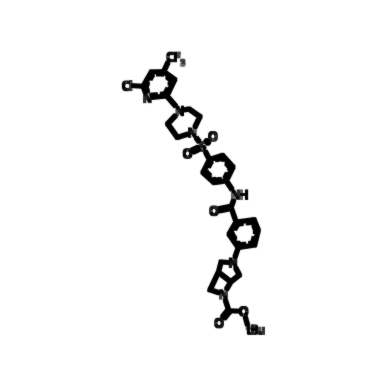 CC(C)(C)OC(=O)N1CC2CN(c3cccc(C(=O)Nc4ccc(S(=O)(=O)N5CCN(c6cc(C(F)(F)F)cc(Cl)n6)CC5)cc4)c3)CC21